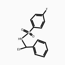 CCC(NS(=O)(=O)c1ccc(F)cc1)c1ccccc1